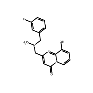 CN(Cc1cccc(F)c1)Cc1cc(=O)n2cccc(O)c2n1